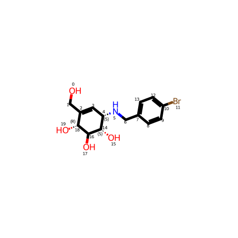 OCC1=C[C@H](NCc2ccc(Br)cc2)[C@H](O)C(O)[C@@H]1O